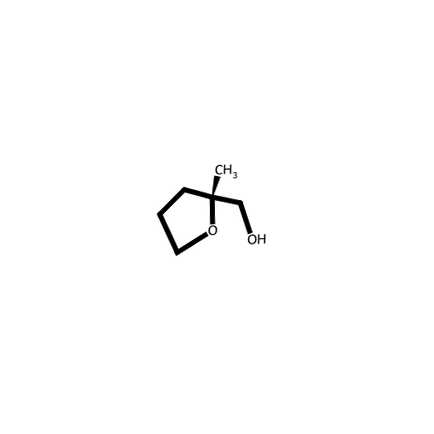 C[C@]1(CO)CCCO1